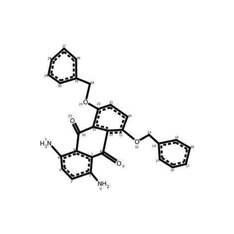 Nc1ccc(N)c2c1C(=O)c1c(OCc3ccccc3)ccc(OCc3ccccc3)c1C2=O